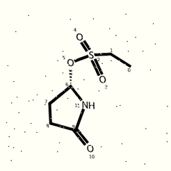 CCS(=O)(=O)O[C@H]1CCC(=O)N1